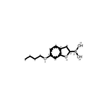 CCCCOc1ccc2c(c1)OC(B(O)O)C2